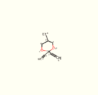 C#CC1(C#C)OCC(CC)CO1